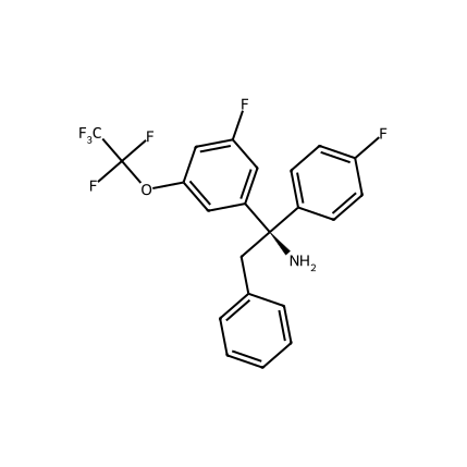 N[C@](Cc1ccccc1)(c1ccc(F)cc1)c1cc(F)cc(OC(F)(F)C(F)(F)F)c1